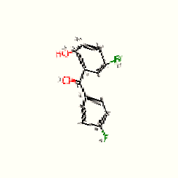 O=C(c1ccc(F)cc1)c1cc(Br)ccc1O